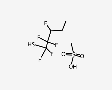 CCC(F)C(F)(F)C(F)(F)S.CS(=O)(=O)O